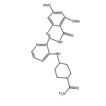 COc1cc(OC)c2c(=O)[nH]c(-c3ncccc3NC3CCN(C(N)=O)CC3)nc2c1